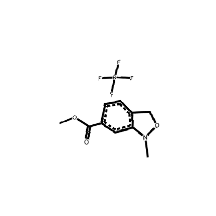 COC(=O)c1ccc2c(c1)N(C)OC2.F[B-](F)(F)F